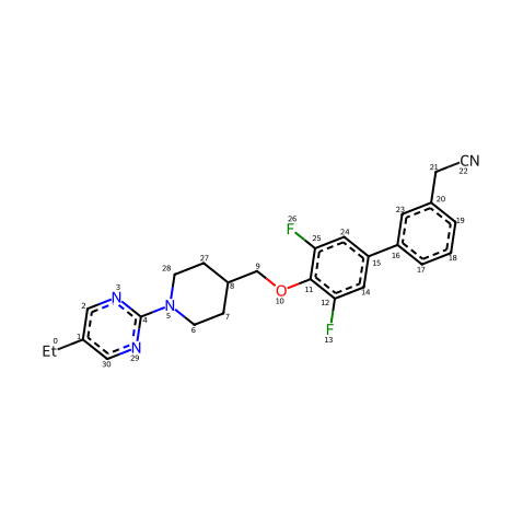 CCc1cnc(N2CCC(COc3c(F)cc(-c4cccc(CC#N)c4)cc3F)CC2)nc1